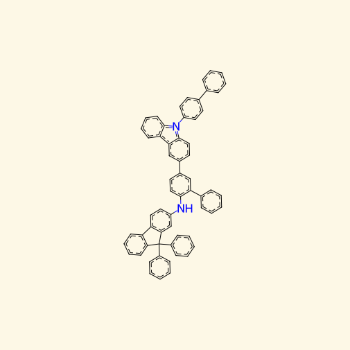 c1ccc(-c2ccc(-n3c4ccccc4c4cc(-c5ccc(Nc6ccc7c(c6)C(c6ccccc6)(c6ccccc6)c6ccccc6-7)c(-c6ccccc6)c5)ccc43)cc2)cc1